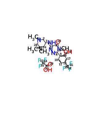 CN1CC(Nc2nnc(-c3ccc(C(F)(F)F)cc3O)n(C)c2=O)CC(C)(C)C1.O=C(O)C(F)(F)F